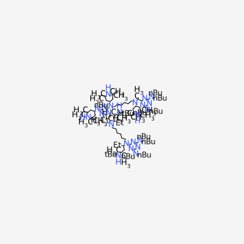 CCCCN(CCCC)c1nc(C(C)N(CCCCCCN(c2nc(N(CCCC)C3CC(C)(C)NC(C)(C)C3)nc(C(C)(C)CN(CCCCCCN(c3nc(N(CCCC)CCCC)nc(N(CCCC)CCCC)n3)C(CC)CC(C)(C)NC(C)(C)C)C(CC)CC(C)(C)NC(C)(C)C)n2)C2CC(C)(C)NC(C)(C)C2)C2CC(C)(C)NC(C)(C)C2)nc(N(CCCC)CCCC)n1